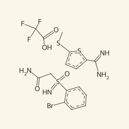 CSc1ccc(C(=N)N)s1.N=S(=O)(CC(N)=O)c1ccccc1Br.O=C(O)C(F)(F)F